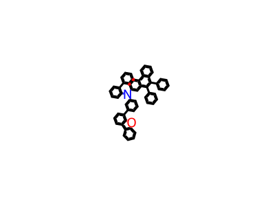 c1ccc(-c2ccccc2N(c2cccc(-c3cccc4c3oc3ccccc34)c2)c2ccc3c(c2)c(-c2ccccc2)c(-c2ccccc2)c2ccccc23)cc1